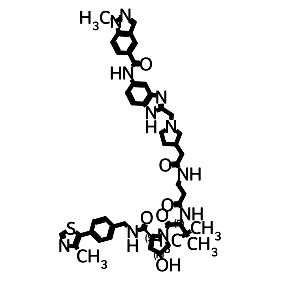 Cc1ncsc1-c1ccc(CNC(=O)[C@@H]2C[C@@H](O)CN2C(=O)[C@@H](NC(=O)CCNC(=O)CC2CCN(Cc3nc4cc(NC(=O)c5ccc6c(cnn6C)c5)ccc4[nH]3)C2)C(C)(C)C)cc1